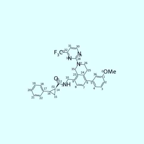 COc1cccc(-c2ccc(CNC(=O)[C@H]3CC3c3ccccc3)c3c2CCN(c2nccc(C(F)(F)F)n2)C3)c1